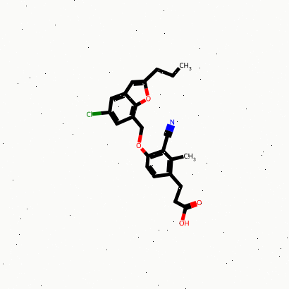 CCCc1cc2cc(Cl)cc(COc3ccc(CCC(=O)O)c(C)c3C#N)c2o1